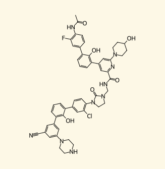 CC(=O)Nc1ccc(-c2cccc(-c3cc(C(=O)NCN4CCN(c5ccc(-c6cccc(-c7cc(C#N)cc(N8CCNCC8)c7)c6O)cc5Cl)C4=O)nc(N4CCC(O)CC4)c3)c2O)cc1F